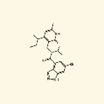 CCC(C)c1cc(C)[nH]c(=O)c1CN(C(=O)c1cc(Br)cc2[nH]ncc12)C(C)C